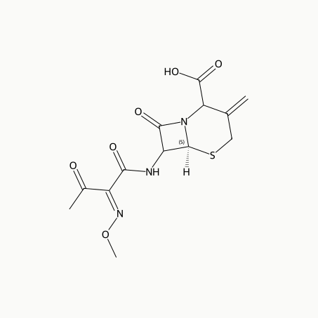 C=C1CS[C@H]2C(NC(=O)C(=NOC)C(C)=O)C(=O)N2C1C(=O)O